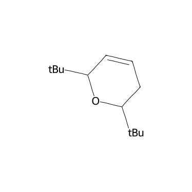 CC(C)(C)C1C=CCC(C(C)(C)C)O1